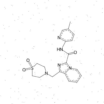 Cc1ccc(NC(=O)c2nc(CN3CCS(=O)(=O)CC3)c3ccccn23)nc1